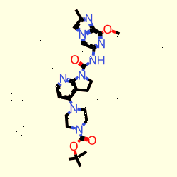 COc1nc(NC(=O)N2CCc3c(N4CCN(C(=O)OC(C)(C)C)CC4)ccnc32)cn2cc(C)nc12